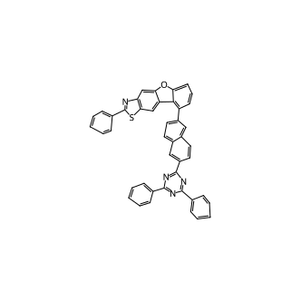 c1ccc(-c2nc(-c3ccccc3)nc(-c3ccc4cc(-c5cccc6oc7cc8nc(-c9ccccc9)sc8cc7c56)ccc4c3)n2)cc1